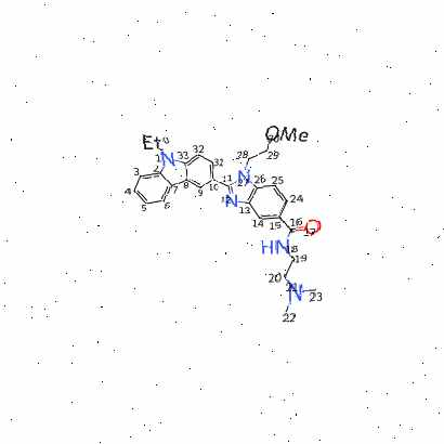 CCn1c2ccccc2c2cc(-c3nc4cc(C(=O)NCCN(C)C)ccc4n3CCOC)ccc21